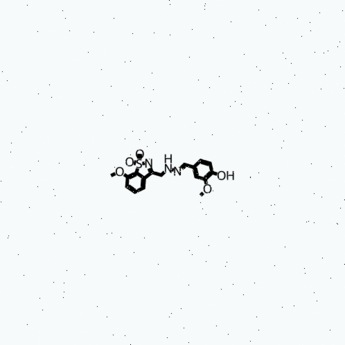 COc1cc(/C=N/NCC2=NS(=O)(=O)c3c(OC)cccc32)ccc1O